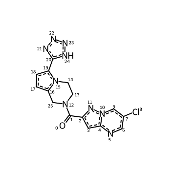 O=C(c1cc2ncc(Cl)cn2n1)N1CCn2c(ccc2-c2nnn[nH]2)C1